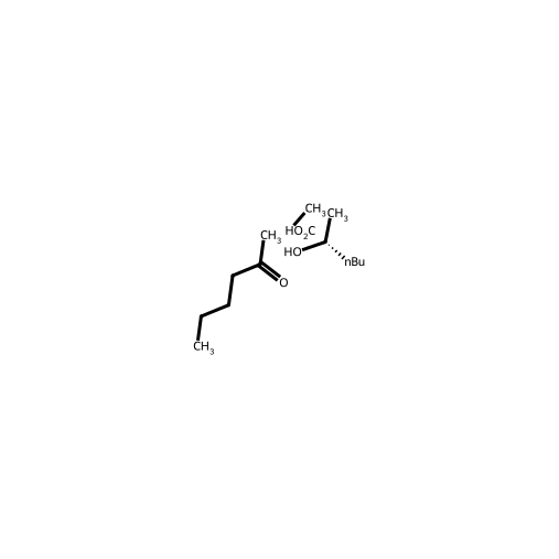 CC(=O)O.CCCCC(C)=O.CCCC[C@@H](C)O